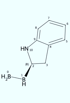 BB[C@@H]1Cc2ccccc2N1